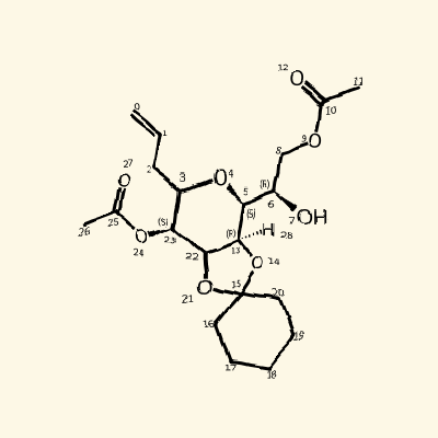 C=CCC1O[C@@H]([C@H](O)COC(C)=O)[C@H]2OC3(CCCCC3)OC2[C@H]1OC(C)=O